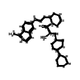 C[C@H](NC1CCC(C2CCCCC2)CC1)C(=O)N1CCCCC1CCOc1ccc2c(N)nccc2c1